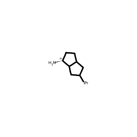 CC(C)C1CC2CC[C@@H](N)C2C1